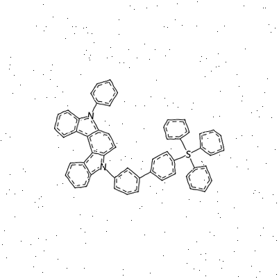 c1ccc(-n2c3ccccc3c3c4c5ccccc5n(-c5cccc(-c6ccc(S(c7ccccc7)(c7ccccc7)c7ccccc7)cc6)c5)c4ccc32)cc1